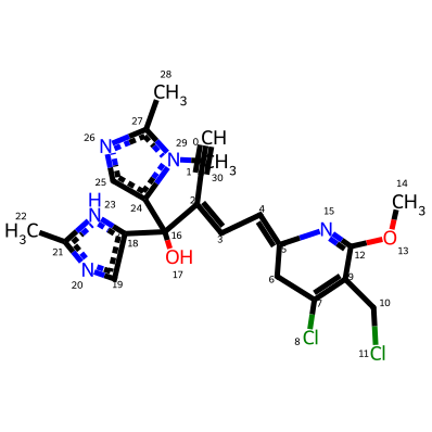 C#C/C(=C\C=C1/CC(Cl)=C(CCl)C(OC)=N1)C(O)(c1cnc(C)[nH]1)c1cnc(C)n1C